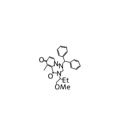 CCC(COC)N1CN(C(c2ccccc2)c2ccccc2)n2ccc(=O)c(C)c2C1=O